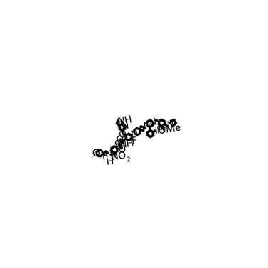 COc1cc(CN2CCN(C3CC4(CCN(c5cc(Oc6cnc7[nH]ccc7c6)c(C(=O)NS(=O)(=O)c6ccc(NCC7(F)CCOCC7)c([N+](=O)[O-])c6)cc5F)CC4)C3)C(c3ccccc3C(C)C)C2)ccc1CN1CCCC1